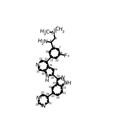 CN(C)CC(N)c1cc(F)cc(-c2cncc3[nH]c(-c4n[nH]c5ccc(-c6cncnc6)cc45)cc23)c1